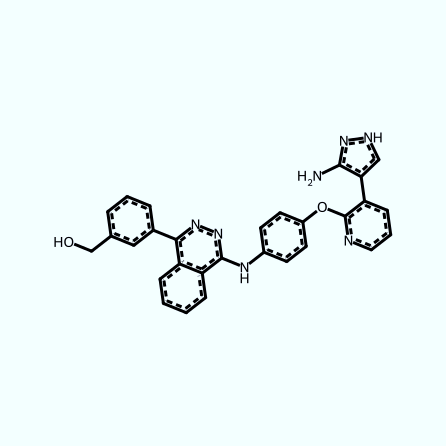 Nc1n[nH]cc1-c1cccnc1Oc1ccc(Nc2nnc(-c3cccc(CO)c3)c3ccccc23)cc1